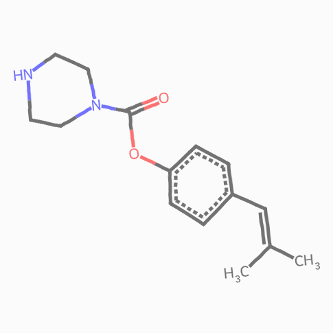 CC(C)=Cc1ccc(OC(=O)N2CCNCC2)cc1